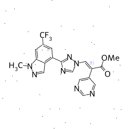 COC(=O)/C(=C/n1cnc(-c2cc(C(F)(F)F)cc3c2cnn3C)n1)c1cncnc1